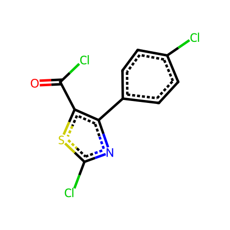 O=C(Cl)c1sc(Cl)nc1-c1ccc(Cl)cc1